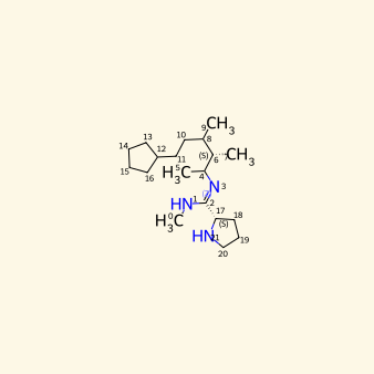 CN/C(=N\C(C)[C@@H](C)C(C)CCC1CCCC1)[C@@H]1CCCN1